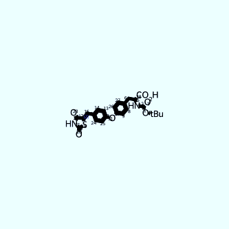 CC(C)(C)OC(=O)NC(Cc1ccc(Oc2ccc(/C=C3\SC(=O)NC3=O)cc2)cc1)C(=O)O